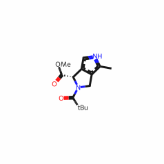 COC(=O)[C@@H]1c2c[nH]c(C)c2CN1C(=O)C(C)(C)C